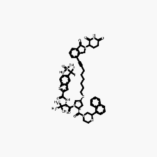 CC(C)(C)[C@H](NC(=O)c1cc2cc(C(F)(F)P(=O)(O)O)ccc2s1)C(=O)N1C[C@@H](OCCCCCCC#Cc2cccc3c2CN(C2CCC(=O)NC2=O)C3=O)C[C@H]1C(=O)N1CCOC(c2cccc3ccccc23)C1